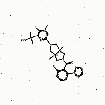 Cc1cc(N2C[C@]3(F)CN(C(=O)c4c(F)cccc4-n4nccn4)C[C@]3(F)C2)nc(C(C)(C)O)c1F